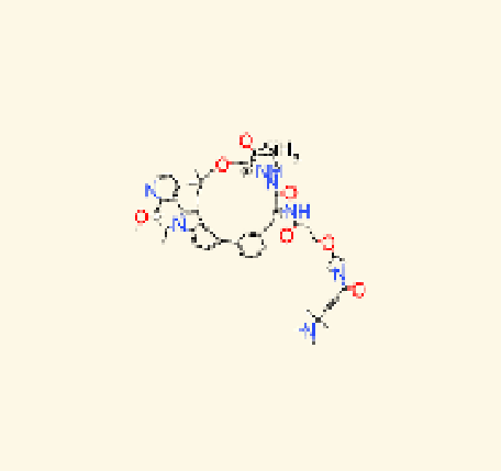 CCn1c(-c2cccnc2[C@H](C)OC)c2c3cc(ccc31)-c1cccc(c1)C[C@H](NC(=O)CCOC1CN(C(=O)C#CC(C)(C)N(C)C)C1)C(=O)N1CCC[C@@](C(=O)[SiH3])(COCC(C)(C)C2)N1